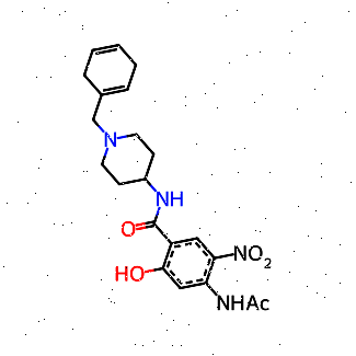 CC(=O)Nc1cc(O)c(C(=O)NC2CCN(CC3=CCC=CC3)CC2)cc1[N+](=O)[O-]